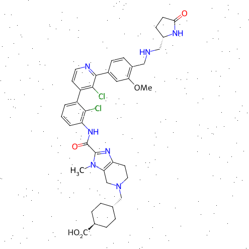 COc1cc(-c2nccc(-c3cccc(NC(=O)c4nc5c(n4C)CN(C[C@H]4CC[C@H](C(=O)O)CC4)CC5)c3Cl)c2Cl)ccc1CNC[C@@H]1CCC(=O)N1